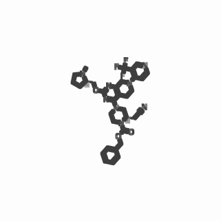 CN1CCC[C@H]1COc1nc2c(c(N3CCN(C(=O)OCc4ccccc4)[C@@H](CC#N)C3)n1)CCN(c1ccncc1C(F)(F)F)C2